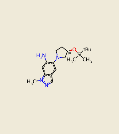 Cn1ncc2cc(N3CC[C@@H](O[Si](C)(C)C(C)(C)C)C3)c(N)cc21